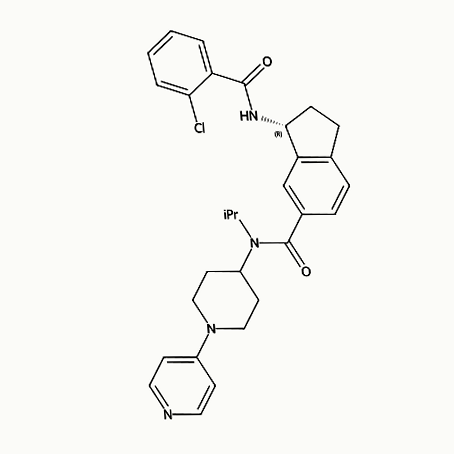 CC(C)N(C(=O)c1ccc2c(c1)[C@H](NC(=O)c1ccccc1Cl)CC2)C1CCN(c2ccncc2)CC1